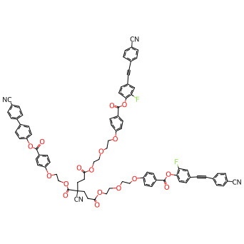 N#Cc1ccc(C#Cc2ccc(OC(=O)c3ccc(OCCOCCOC(=O)CCC(C#N)(CCC(=O)OCCOCCOc4ccc(C(=O)Oc5ccc(C#Cc6ccc(C#N)cc6)cc5F)cc4)C(=O)OCCOc4ccc(C(=O)Oc5ccc(-c6ccc(C#N)cc6)cc5)cc4)cc3)c(F)c2)cc1